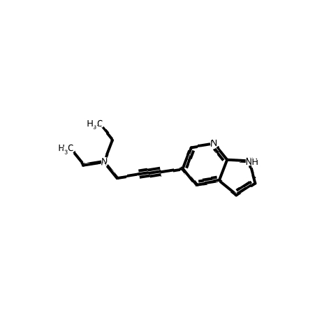 CCN(CC)CC#Cc1cnc2[nH]ccc2c1